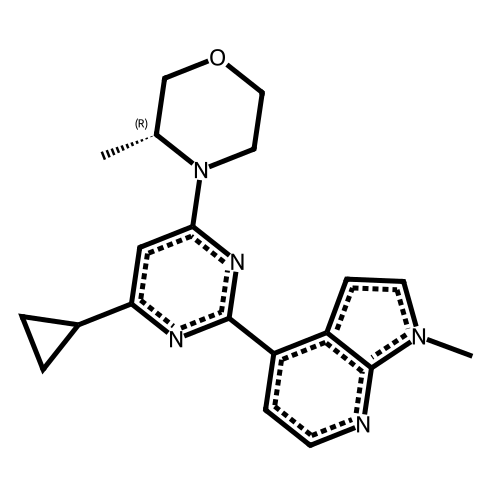 C[C@@H]1COCCN1c1cc(C2CC2)nc(-c2ccnc3c2ccn3C)n1